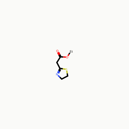 CCOC(=O)CC1=NCCS1